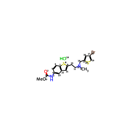 COC(=O)Nc1ccc2sc(CCN(C)Cc3cc(Br)cs3)cc2c1.Cl